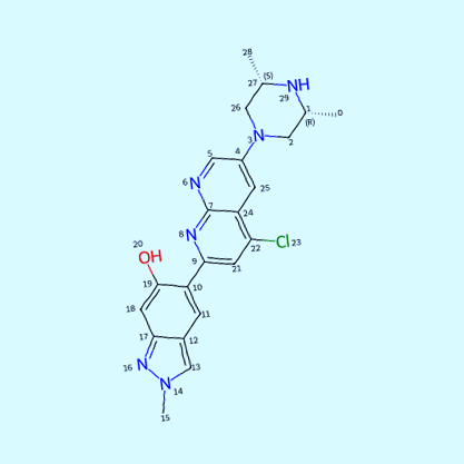 C[C@@H]1CN(c2cnc3nc(-c4cc5cn(C)nc5cc4O)cc(Cl)c3c2)C[C@H](C)N1